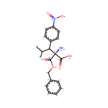 CC(C)C(c1ccc([N+](=O)[O-])cc1)[C@](N)(C(=O)O)C(=O)OCc1ccccc1